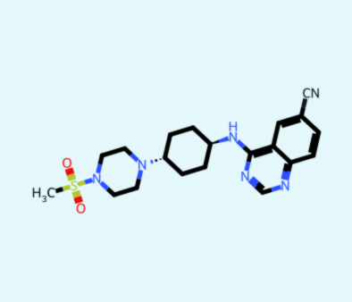 CS(=O)(=O)N1CCN([C@H]2CC[C@H](Nc3ncnc4ccc(C#N)cc34)CC2)CC1